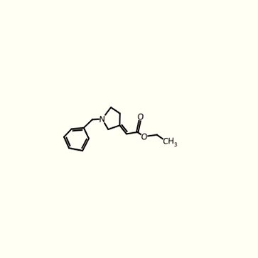 CCOC(=O)/C=C1\CCN(Cc2ccccc2)C1